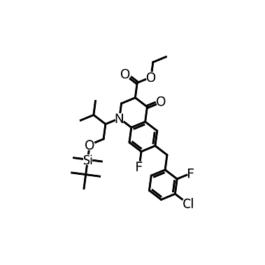 CCOC(=O)C1CN(C(CO[Si](C)(C)C(C)(C)C)C(C)C)c2cc(F)c(Cc3cccc(Cl)c3F)cc2C1=O